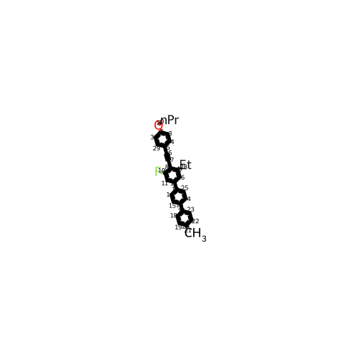 CCCOc1ccc(C#Cc2c(F)cc(-c3ccc(-c4ccc(C)cc4)cc3)cc2CC)cc1